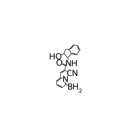 Bc1cccc(/C=C(\C#N)C(=O)N[C@@H]2c3ccccc3C[C@@H]2O)n1